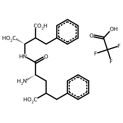 N[C@@H](CC(Cc1ccccc1)C(=O)O)C(=O)N[C@H](C(=O)O)C(Cc1ccccc1)C(=O)O.O=C(O)C(F)(F)F